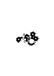 O=C1c2c(OCc3ccccc3)c(=O)ccn2N2CN1C/C=C\COc1ccccc1C2c1ccccc1